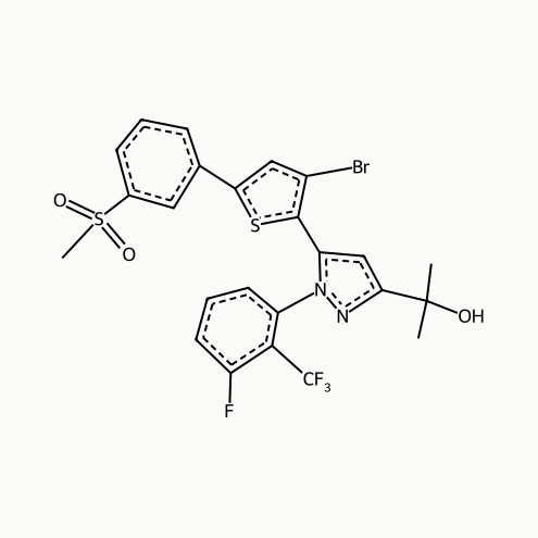 CC(C)(O)c1cc(-c2sc(-c3cccc(S(C)(=O)=O)c3)cc2Br)n(-c2cccc(F)c2C(F)(F)F)n1